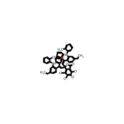 CCc1ccc(C(=CC2(C=C(c3ccccc3)c3ccc(CC)cc3Nc3ccccc3C)OC(=O)c3c(Cl)c(Cl)c(Cl)c(Cl)c32)c2ccccc2)c(Nc2ccccc2C)c1